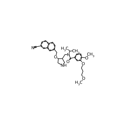 COCCCOc1cc(C(=O)N(CC2CNCC2OCc2ccc3ccc(C#N)cc3c2)C(C)C)ccc1OC